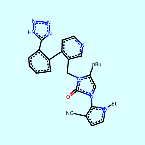 CCCCc1cn(-c2c(C#N)ccn2CC)c(=O)n1Cc1cnccc1-c1ccccc1-c1nnn[nH]1